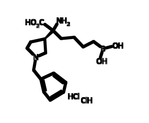 Cl.Cl.NC(CCCCB(O)O)(C(=O)O)[C@@H]1CCN(Cc2ccccc2)C1